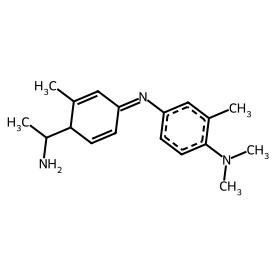 CC1=C/C(=N/c2ccc(N(C)C)c(C)c2)C=CC1C(C)N